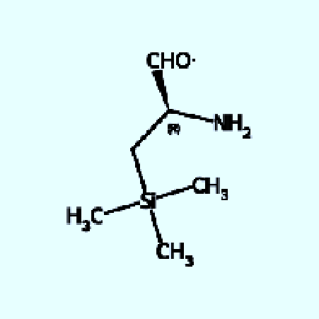 C[Si](C)(C)C[C@H](N)[C]=O